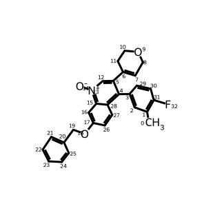 Cc1cc(-c2c(C3=CCOCC3)c[n+]([O-])c3cc(OCc4ccccc4)ccc23)ccc1F